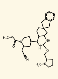 C=CC(=O)N1CCN(C2NC(OCC3CCCN3C)NC3CC4(CCC32)Cc2ccccc2C4)CC1CC#N